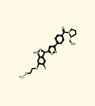 COCCOc1cc2[nH]nc(-c3cc(-c4ccc(C(=O)N5CCC[C@@H]5CO)cc4)no3)c2cc1F